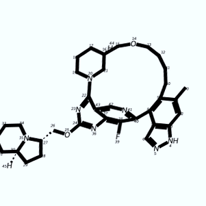 Cc1cc2[nH]ncc2c2c1CCCCOC[C@@H]1CCCN(C1)c1nc(OC[C@@H]3CC[C@H]4COCCN43)nc3c(F)c-2ncc13